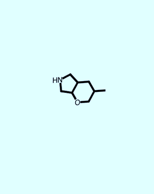 CC1COC2CNCC2C1